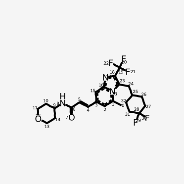 Cc1cc(C=CC(=O)NC2CCOCC2)cc2nc(C(F)(F)F)c(CC3CCC(F)(F)CC3)n12